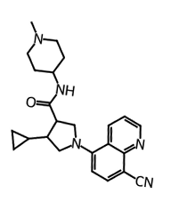 CN1CCC(NC(=O)C2CN(c3ccc(C#N)c4ncccc34)CC2C2CC2)CC1